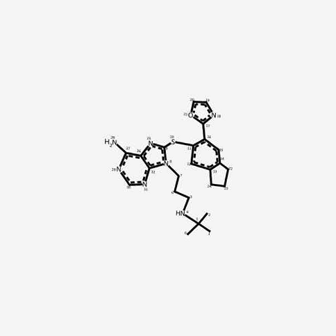 CC(C)(C)NCCCn1c(Sc2cc3c(cc2-c2ncco2)CCC3)nc2c(N)ncnc21